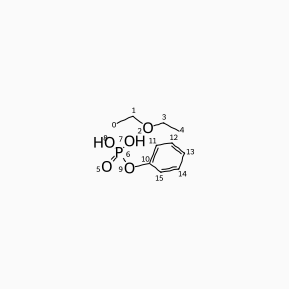 CCOCC.O=P(O)(O)Oc1ccccc1